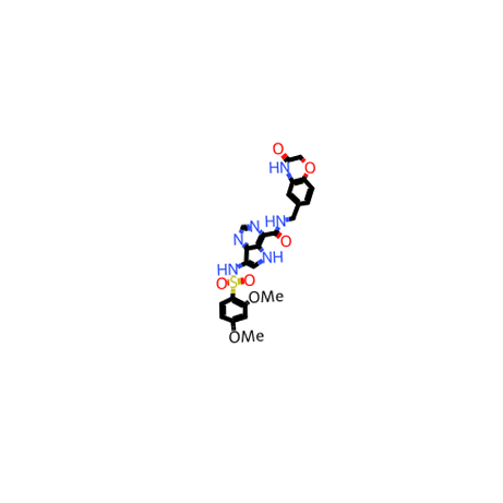 COc1ccc(S(=O)(=O)Nc2c[nH]c3c(C(=O)NCc4ccc5c(c4)NC(=O)CO5)ncnc23)c(OC)c1